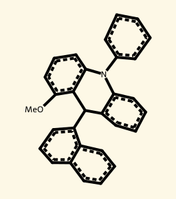 COc1cccc2c1C(c1cccc3ccccc13)c1ccccc1N2c1ccccc1